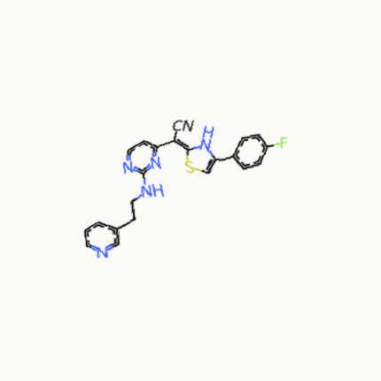 N#CC(=C1NC(c2ccc(F)cc2)=CS1)c1ccnc(NCCc2cccnc2)n1